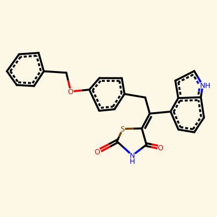 O=C1NC(=O)C(=C(Cc2ccc(OCc3ccccc3)cc2)c2cccc3[nH]ccc23)S1